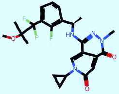 COC(C)(C)C(F)(F)c1cccc([C@@H](C)Nc2nn(C)c(=O)c3cc(=O)n(C4CC4)cc23)c1F